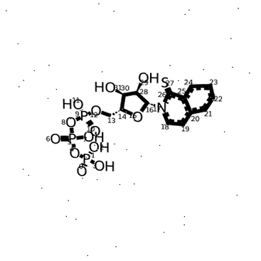 O=P(O)(O)OP(=O)(O)OP(=O)(O)OC[C@H]1O[C@@H](n2ccc3ccccc3c2=S)[C@H](O)[C@@H]1O